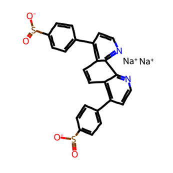 O=S([O-])c1ccc(-c2ccnc3c2ccc2c(-c4ccc(S(=O)[O-])cc4)ccnc23)cc1.[Na+].[Na+]